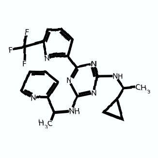 CC(Nc1nc(NC(C)C2CC2)nc(-c2cccc(C(F)(F)F)n2)n1)c1ccccn1